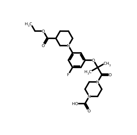 CCOC(=O)C1CCCN(c2cc(F)cc(OC(C)(C)C(=O)N3CCN(C(=O)O)CC3)c2)C1